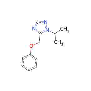 CC(C)n1ncnc1COc1ccccc1